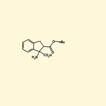 CCCCOC(=O)C1Cc2ccccc2C1(N)C(=O)O